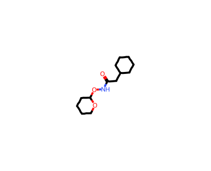 O=C(CC1CCCCC1)NOC1CCCCO1